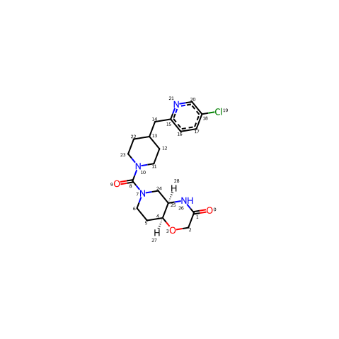 O=C1CO[C@H]2CCN(C(=O)N3CCC(Cc4ccc(Cl)cn4)CC3)C[C@H]2N1